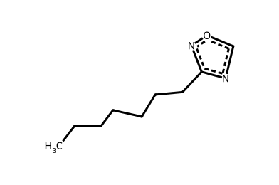 CCCCCCCc1ncon1